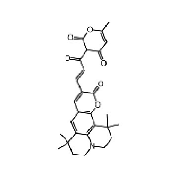 CC1=CC(=O)C(C(=O)C=Cc2cc3cc4c5c(c3oc2=O)C(C)(C)CCN5CCC4(C)C)C(=O)O1